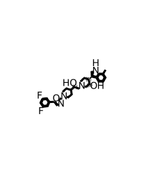 Cc1cccc2c([C@@H]3CCN(C[C@@H](O)C4CCN(c5ncc(-c6cc(F)cc(F)c6)o5)CC4)C[C@H]3O)c[nH]c12